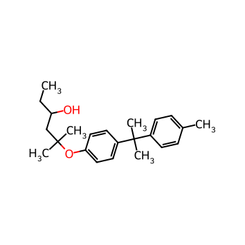 CCC(O)CC(C)(C)Oc1ccc(C(C)(C)c2ccc(C)cc2)cc1